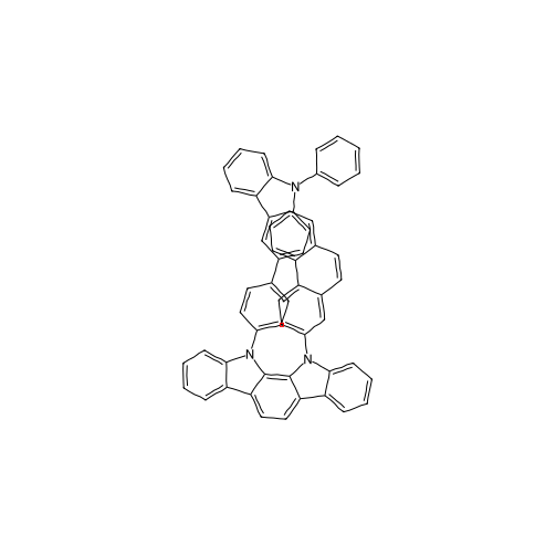 c1ccc(-n2c3ccccc3c3cc(-c4ccc(-n5c6ccccc6c6ccc7c8ccccc8n(-c8ccc9c(ccc%10ccccc%109)c8)c7c65)cc4)ccc32)cc1